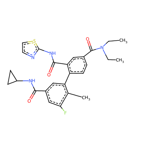 CCN(CC)C(=O)c1ccc(-c2cc(C(=O)NC3CC3)cc(F)c2C)c(C(=O)Nc2nccs2)c1